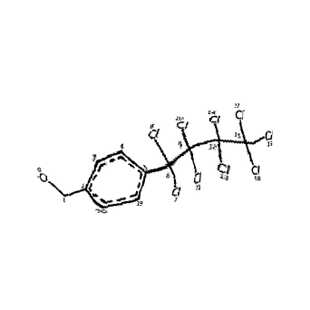 [O]Cc1ccc(C(Cl)(Cl)C(Cl)(Cl)C(Cl)(Cl)C(Cl)(Cl)Cl)cc1